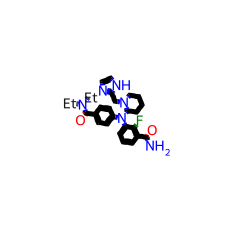 CCN(CC)C(=O)c1ccc(N(c2cccc(C(N)=O)c2F)C2CCCCN2Cc2ncc[nH]2)cc1